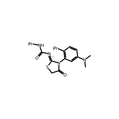 CC(C)NC(=O)/N=C1\SCC(=O)N1c1cc(N(C)C)ccc1C(C)C